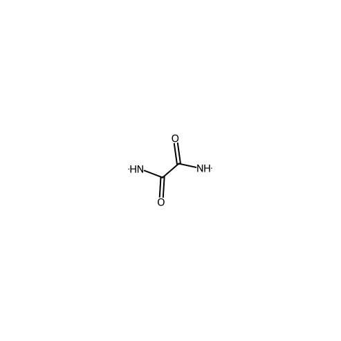 [NH]C(=O)C([NH])=O